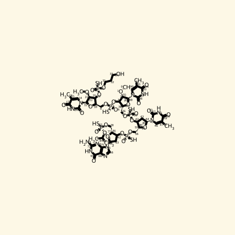 CO[C@H]1C(OP(=O)(S)OC[C@H]2O[C@@H](n3cc(C)c(=O)[nH]c3=O)[C@@H](OC)C2OP(=O)(S)OCCCO)[C@@H](COP(=O)(S)OC2C[C@H](n3cc(C)c(=O)[nH]c3=O)O[C@@H]2COP(=O)(S)OC2C[C@H](n3cnc4c(=O)[nH]c(N)nc43)O[C@@H]2COP(=O)(S)OC(C)C)O[C@H]1n1cc(C)c(=O)[nH]c1=O